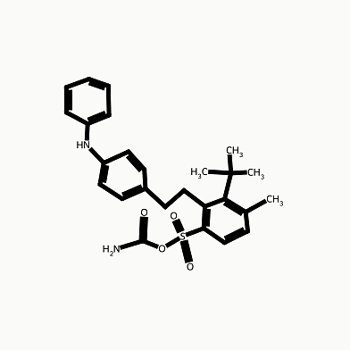 Cc1ccc(S(=O)(=O)OC(N)=O)c(CCc2ccc(Nc3ccccc3)cc2)c1C(C)(C)C